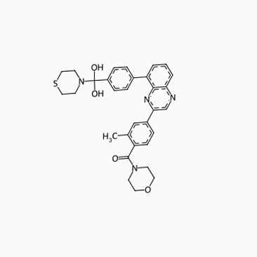 Cc1cc(-c2cnc3cccc(-c4ccc(C(O)(O)N5CCSCC5)cc4)c3n2)ccc1C(=O)N1CCOCC1